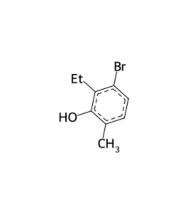 CCc1c(Br)ccc(C)c1O